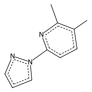 Cc1ccc(-n2cccn2)nc1C